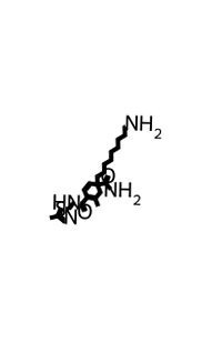 CC1=C(C(=O)Nc2ncc(C)s2)C=CC(CCCCCCCCCN)(C(N)=O)C1